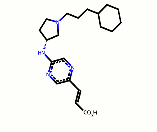 O=C(O)/C=C/c1cnc(N[C@@H]2CCN(CCCC3CCCCC3)C2)cn1